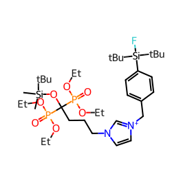 CCOP(=O)(OCC)C(CCCn1cc[n+](Cc2ccc([Si](F)(C(C)(C)C)C(C)(C)C)cc2)c1)(O[Si](C)(C)C(C)(C)C)P(=O)(OCC)OCC